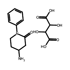 NC1CCN(c2ccccc2)C(=O)C1.O=C(O)C(O)C(O)C(=O)O